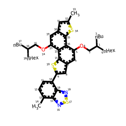 CCCCCCC(CCCC)COc1cc2cc(-c3ccc(C)c4nsnc34)sc2c2c(OCC(CCCC)CCCCCC)cc3cc(C)sc3c12